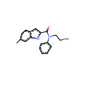 COCCN(C(=O)c1cc2ccc(C)cc2[nH]1)c1ccccc1